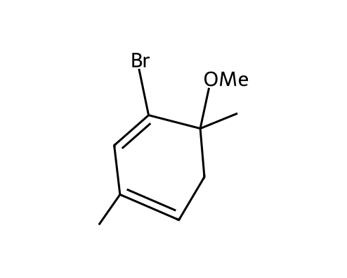 COC1(C)CC=C(C)C=C1Br